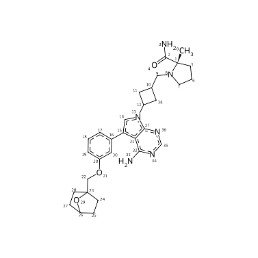 C[C@@]1(C(N)=O)CCCN1CC1CC(n2cc(-c3cccc(OCC45CCC(CC4)O5)c3)c3c(N)ncnc32)C1